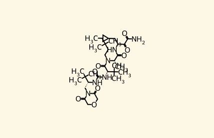 CCC(C)(C)CCN(C(=O)[C@@H](NC(=O)N[C@H](CN1C(=O)COCC1=O)C(C)(C)C)C(C)(C)C)[C@@H](C)C(=O)NC(CC1CC1)C(=O)C(N)=O